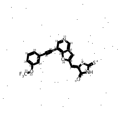 O=C1NC(=S)S/C1=C\c1cc2cncc(C#Cc3cccc(OC(F)(F)F)c3)c2o1